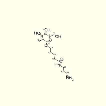 C[C@H]1C(O)[C@@H](O)C(CO)O[C@H]1OCCCCC(=O)NCCCN